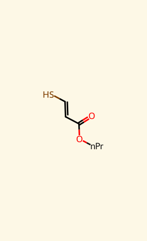 [CH2]CCOC(=O)C=CS